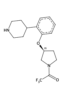 O=C(N1CC[C@H](Oc2ccccc2C2CCNCC2)C1)C(F)(F)F